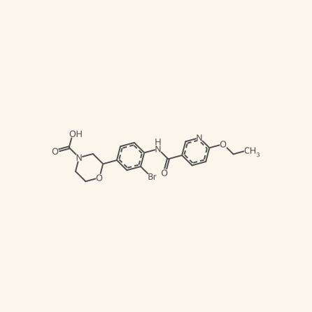 CCOc1ccc(C(=O)Nc2ccc(C3CN(C(=O)O)CCO3)cc2Br)cn1